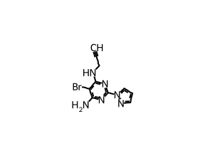 C#CCNc1nc(-n2cccn2)nc(N)c1Br